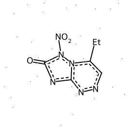 CCc1cnnc2nc(=O)n([N+](=O)[O-])n12